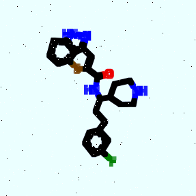 O=C(NC(CCc1cccc(F)c1)C1CCNCC1)C1=Cc2n[nH]c3cccc(c23)S1